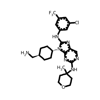 CC1(Nc2ncc3nc(Nc4cc(Cl)cc(C(F)(F)F)c4)n([C@H]4CC[C@H](CN)CC4)c3n2)CCOCC1